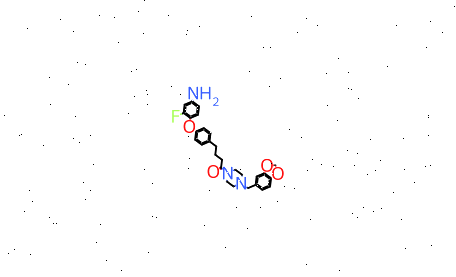 Nc1ccc(Oc2ccc(CCCC(=O)N3CCN(Cc4ccc5c(c4)OCO5)CC3)cc2)c(F)c1